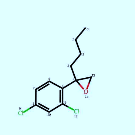 CCCCC1(c2ccc(Cl)cc2Cl)CO1